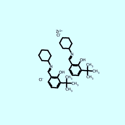 CC(C)(C)c1cccc(C=NC2CCCCC2)c1O.CC(C)(C)c1cccc(C=NC2CCCCC2)c1O.[Cl-].[Cl-].[Zr+2]